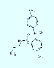 Cc1ccc(C(O)(OC(=O)NCCN)c2ccc(C)cc2)cc1